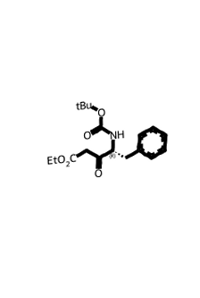 CCOC(=O)CC(=O)[C@@H](Cc1ccccc1)NC(=O)OC(C)(C)C